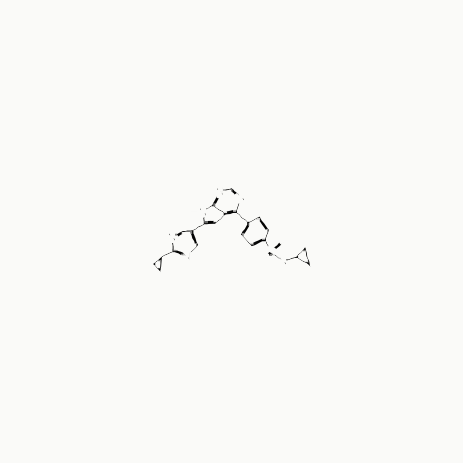 O=S(=O)(NC1CC1)c1ccc(-c2ncnc3[nH]c(-c4cnc(C5CC5)nc4)cc23)cc1